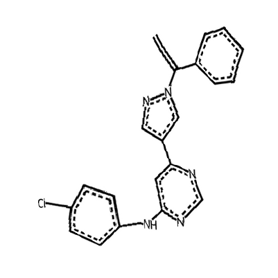 C=C(c1ccccc1)n1cc(-c2cc(Nc3ccc(Cl)cc3)ncn2)cn1